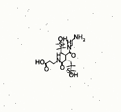 CC(C)(C[C@H](C(=O)NCCC(=O)O)[C@@H](CC(C)(C)[Si](C)(C)O)C(=O)NCCN)[Si](C)(C)O